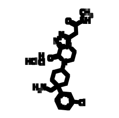 CNC(=O)Cc1nnc2n1CCN(C1CCC(CN)(c3cccc(Cl)c3)CC1)C2=O.Cl.Cl